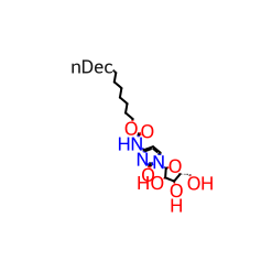 CCCCCCCCCCCCCCCCCOC(=O)Nc1ccn([C@@H]2O[C@H](CO)[C@@H](O)[C@@H]2O)c(=O)n1